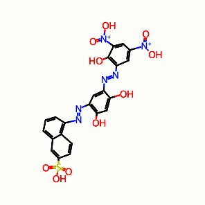 O=[N+](O)c1cc(/N=N/c2cc(/N=N/c3cccc4cc(S(=O)(=O)O)ccc34)c(O)cc2O)c(O)c([N+](=O)O)c1